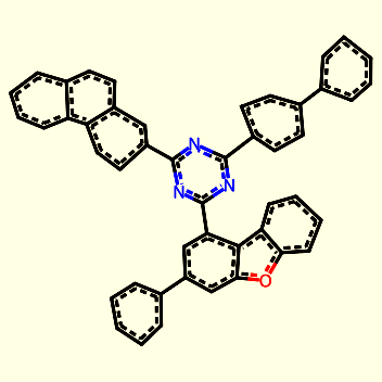 c1ccc(-c2ccc(-c3nc(-c4ccc5c(ccc6ccccc65)c4)nc(-c4cc(-c5ccccc5)cc5oc6ccccc6c45)n3)cc2)cc1